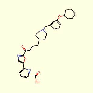 O=C(O)c1cccc(-c2cnc(C(=O)CCCC3CCN(Cc4cccc(OC5CCCCC5)c4)CC3)o2)n1